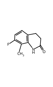 Cc1c(F)ccc2c1NC(=O)CC2